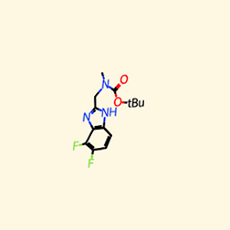 CN(Cc1nc2c(F)c(F)ccc2[nH]1)C(=O)OC(C)(C)C